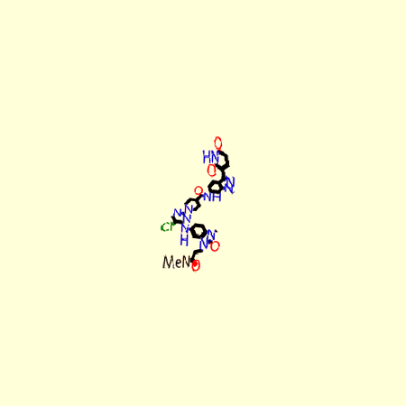 CNC(=O)CCn1c(=O)n(C)c2ccc(Nc3nc(N4CCC(C(=O)Nc5ccc6c(C7CCC(=O)NC7=O)nn(C)c6c5)CC4)ncc3Cl)cc21